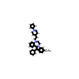 CC(=O)Oc1ccc2c(C3CCCCC3)c3n(c2c1)CCN(CCC1CCN(C2CCCC2)CC1)c1ccccc1-3